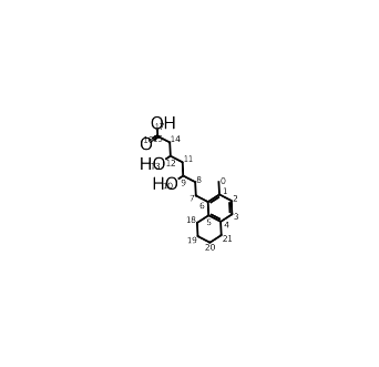 Cc1ccc2c(c1CCC(O)CC(O)CC(=O)O)CCCC2